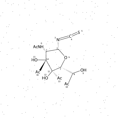 CC(=O)N[C@@H]1[C@H](N=C=S)O[C@H](C(O)C(C)=O)[C@](O)(C(C)=O)[C@@]1(O)C(C)=O